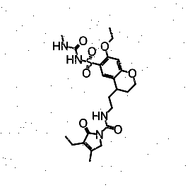 CCOc1cc2c(cc1S(=O)(=O)NC(=O)NC)C(CCNC(=O)N1CC(C)=C(CC)C1=O)CCO2